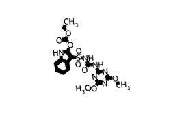 CCOC(=O)Oc1[nH]c2ccccc2c1S(=O)(=O)NC(=O)Nc1nc(OC)nc(OC)n1